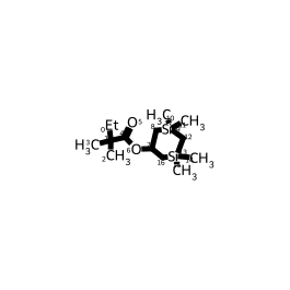 CCC(C)(C)C(=O)OC1C[Si](C)(C)C[Si](C)(C)C1